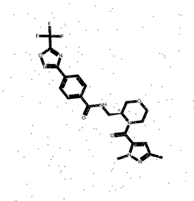 Cc1cc(C(=O)N2CCOC[C@@H]2CNC(=O)c2ccc(-c3noc(C(F)(F)F)n3)cc2)n(C)n1